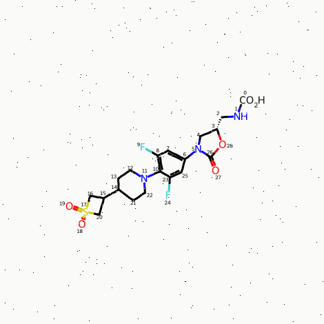 O=C(O)NC[C@H]1CN(c2cc(F)c(N3CCC(C4CS(=O)(=O)C4)CC3)c(F)c2)C(=O)O1